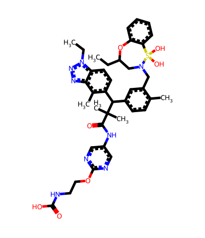 CCC1CN(Cc2cc(C(c3ccc4c(nnn4CC)c3C)C(C)(C)C(=O)Nc3cnc(OCCNC(=O)O)nc3)ccc2C)S(O)(O)c2ccccc2O1